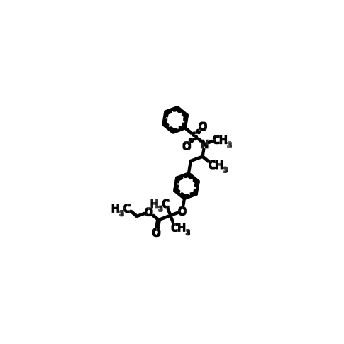 CCOC(=O)C(C)(C)Oc1ccc(CC(C)N(C)S(=O)(=O)c2ccccc2)cc1